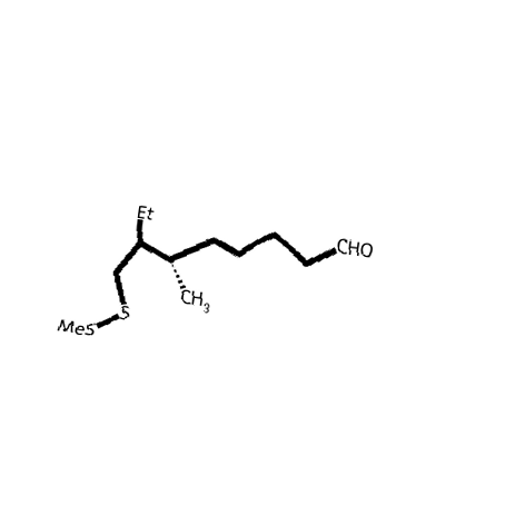 CCC(CSSC)[C@@H](C)CCCCC=O